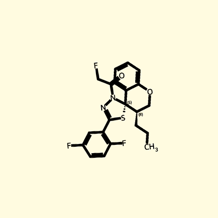 CCC[C@@H]1COc2ccccc2[C@@]12SC(c1cc(F)ccc1F)=NN2C(=O)CF